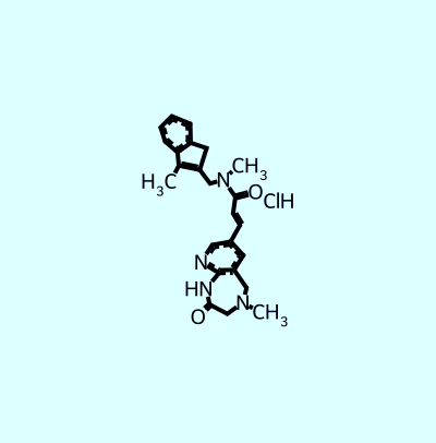 CC1=C(CN(C)C(=O)/C=C/c2cnc3c(c2)CN(C)CC(=O)N3)Cc2ccccc21.Cl